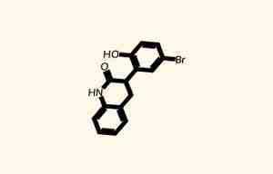 O=C1Nc2ccccc2CC1c1cc(Br)ccc1O